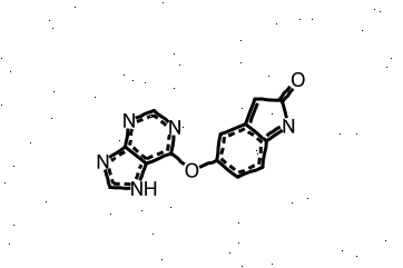 O=C1C=c2cc(Oc3ncnc4nc[nH]c34)ccc2=N1